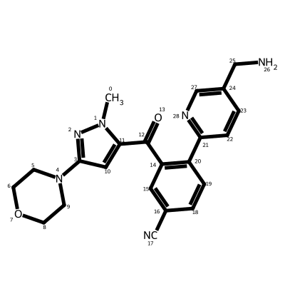 Cn1nc(N2CCOCC2)cc1C(=O)c1cc(C#N)ccc1-c1ccc(CN)cn1